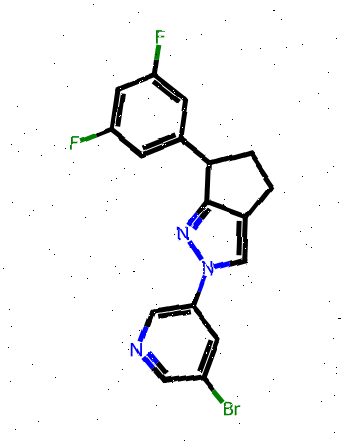 Fc1cc(F)cc(C2CCc3cn(-c4cncc(Br)c4)nc32)c1